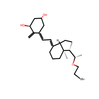 C=C1/C(=C/C=C2\CCC[C@]3(C)[C@@H]([C@H](C)OCCC(C)(C)C)CC[C@@H]23)C[C@@H](O)C[C@@H]1O